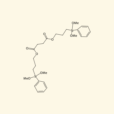 CO[Si](CCCOC(=O)CCC(=O)OCCC[Si](OC)(OC)c1ccccc1)(OC)c1ccccc1